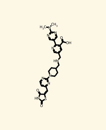 CN(C)c1ncc(-c2ncc(CNCC3CCN(c4nccc(/C=C5/SC(=O)NC5=O)n4)CC3)cc2C(=O)O)cn1